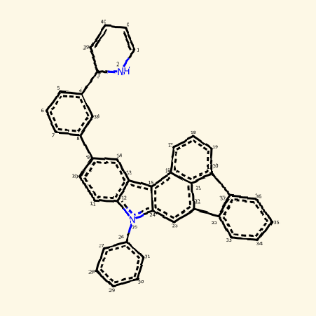 C1=CNC(c2cccc(-c3ccc4c(c3)c3c5cccc6c5c(cc3n4-c3ccccc3)-c3ccccc3-6)c2)C=C1